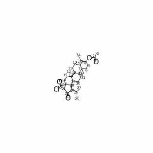 CC(=O)OC1CCC2(C)C(CCC3(C)C4CCC5(C(=O)Cl)CC(=O)C(C(C)C)=C5C4CCC32)C1C